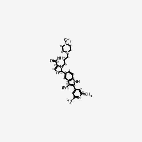 Cc1cc(-c2[nH]c3ccc(C4OC=C(C(N)=O)N4CCCN4CCN(C)CC4)cc3c2C(C)C)cc(C)n1